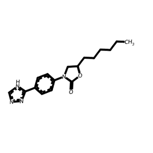 CCCCCCC1CN(c2ccc(-c3nnc[nH]3)cc2)C(=O)O1